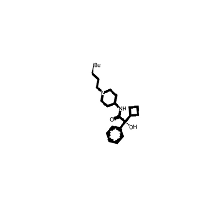 CC[C@H](C)CCCN1CCC(NC(=O)[C@](O)(c2ccccc2)C2CCC2)CC1